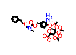 CCN(COCCc1ccccc1)C(=O)OCc1ccc(O[C@H]2OC(C(=O)OC)C(OC(C)=O)[C@H](OC(C)=O)C2OC(C)=O)c(N)c1